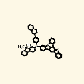 CC1(C)c2ccccc2-c2ccc(N(c3ccc(-c4ccc5ccccc5c4)cc3)c3ccc4c5cc6c7ccccc7sc6c6c7ccccc7n(c4c3)c56)cc21